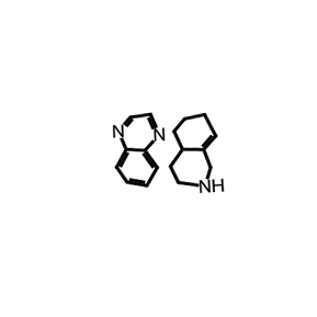 C1=C2CNCCC2CCC1.c1ccc2nccnc2c1